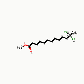 COC(=O)CCCCCCCCCC[Si](C)(Cl)Cl